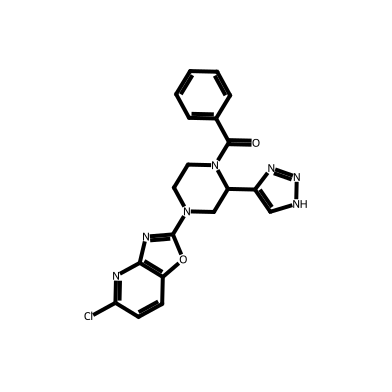 O=C(c1ccccc1)N1CCN(c2nc3nc(Cl)ccc3o2)CC1c1c[nH]nn1